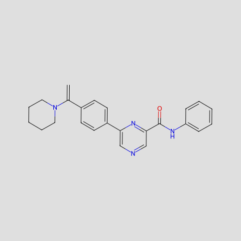 C=C(c1ccc(-c2cncc(C(=O)Nc3ccccc3)n2)cc1)N1CCCCC1